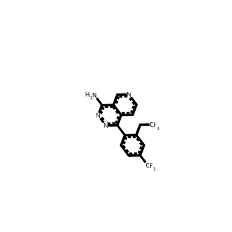 Nc1nnc(-c2ccc(C(F)(F)F)cc2CC(F)(F)F)c2ccncc12